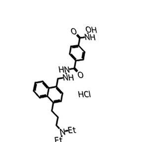 CCN(CC)CCCc1ccc(CNNC(=O)c2ccc(C(=O)NO)cc2)c2ccccc12.Cl